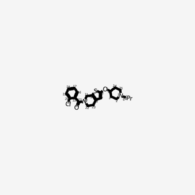 CC(C)N1CCC(Oc2cc3c(s2)CN(C(=O)c2ccccc2Cl)CC3)CC1